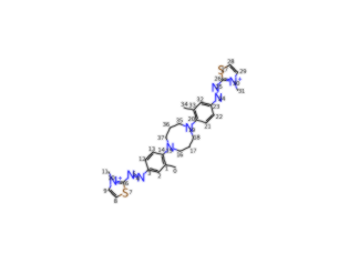 Cc1cc(/N=N/c2scc[n+]2C)ccc1N1CCCN(c2ccc(/N=N/c3scc[n+]3C)cc2C)CCC1